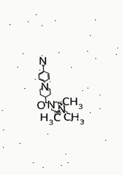 CCN1[C@@H](C)CN(C(=O)C2CCN(c3ccc(C#N)cc3)CC2)C[C@@H]1C